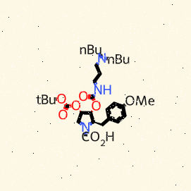 CCCCN(CCCC)CCCNC(=O)O[C@@H]1[C@@H](OC(=O)OC(C)(C)C)CN(C(=O)O)[C@@H]1Cc1ccc(OC)cc1